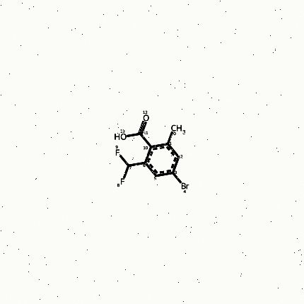 Cc1cc(Br)cc(C(F)F)c1C(=O)O